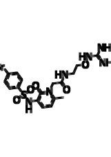 Cc1ccc(NS(=O)(=O)c2ccc(Br)cc2)c(=O)n1CC(=O)NCCONC(=N)N